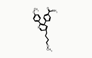 COCCCCc1cnc(-c2ccc(OC)cc2)c(-c2ccc(C(N)=O)cc2)c1